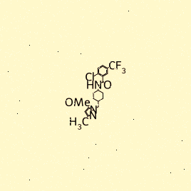 COc1cc(C)nn1CC1CCC(NC(=O)c2cc(C(F)(F)F)ccc2Cl)CC1